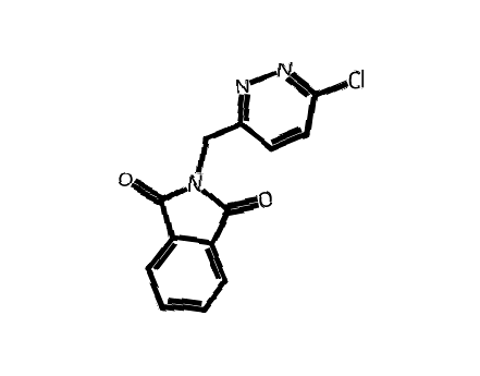 O=C1c2ccccc2C(=O)N1Cc1ccc(Cl)nn1